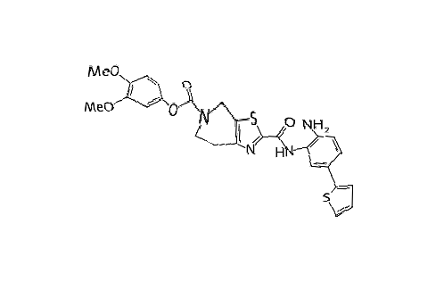 COc1ccc(OC(=O)N2CCc3nc(C(=O)Nc4cc(-c5cccs5)ccc4N)sc3C2)cc1OC